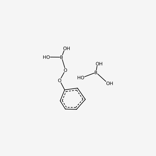 OB(O)O.OB(O)OOc1ccccc1